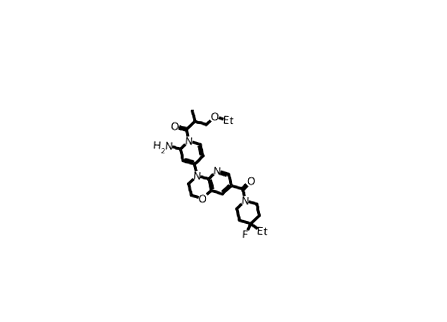 CCOCC(C)C(=O)N1C=CC(N2CCOc3cc(C(=O)N4CCC(F)(CC)CC4)cnc32)=CC1N